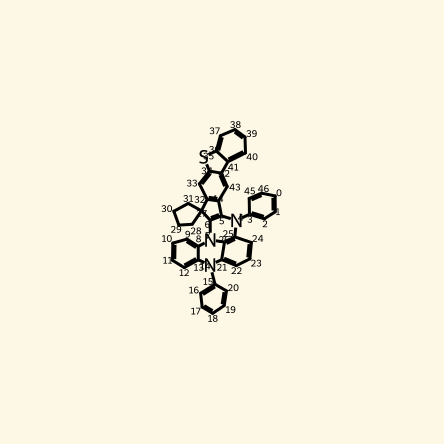 c1ccc(N2C3=C(N4c5ccccc5N(c5ccccc5)c5cccc2c54)C2(CCCC2)c2cc4sc5ccccc5c4cc23)cc1